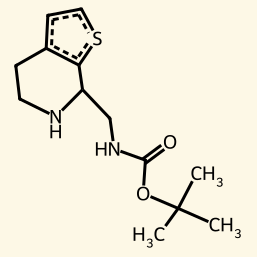 CC(C)(C)OC(=O)NCC1NCCc2ccsc21